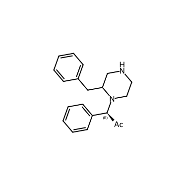 CC(=O)[C@@H](c1ccccc1)N1CCNCC1Cc1ccccc1